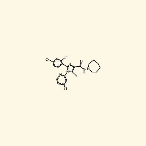 Cc1c(C(=O)NN2CCCCCC2)nc(-c2ccc(Cl)cc2Cl)n1-c1cc(Cl)ccn1